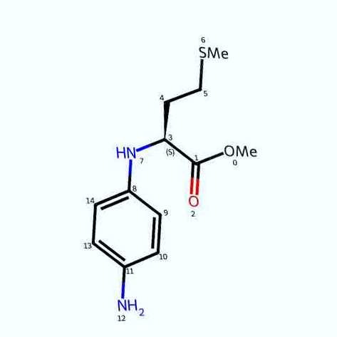 COC(=O)[C@H](CCSC)Nc1ccc(N)cc1